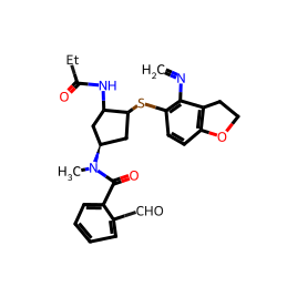 C=Nc1c(SC2C[C@@H](N(C)C(=O)c3ccccc3C=O)CC2NC(=O)CC)ccc2c1CCO2